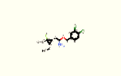 N#CC[C@H]1[C@@H](C[C@H](N)OCc2ccc(Cl)c(Cl)c2)[C@]1(F)C=O